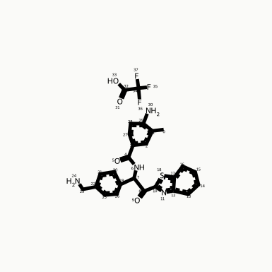 Cc1cc(C(=O)NC(C(=O)c2nc3ccccc3s2)c2ccc(CN)cc2)ccc1N.O=C(O)C(F)(F)F